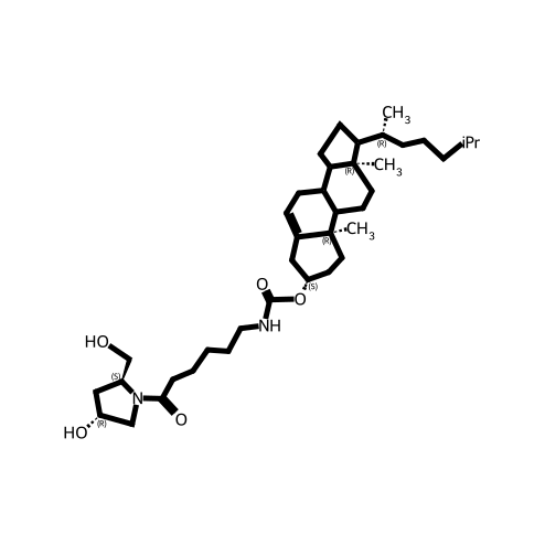 CC(C)CCC[C@@H](C)C1CCC2C3CC=C4C[C@@H](OC(=O)NCCCCCC(=O)N5C[C@H](O)C[C@H]5CO)CC[C@]4(C)C3CC[C@@]21C